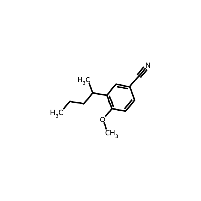 CCCC(C)c1cc(C#N)ccc1OC